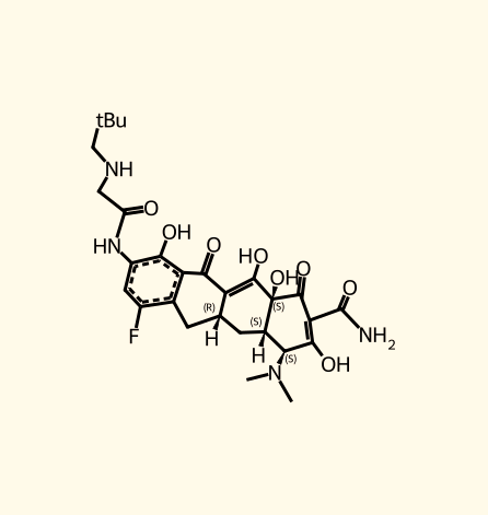 CN(C)[C@@H]1C(O)=C(C(N)=O)C(=O)[C@@]2(O)C(O)=C3C(=O)c4c(O)c(NC(=O)CNCC(C)(C)C)cc(F)c4C[C@H]3C[C@@H]12